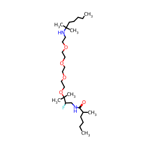 CCCCCC(C)(C)NCCOCCOCCOCCOC(C)(C)C(F)CNC(=O)C(C)CCCC